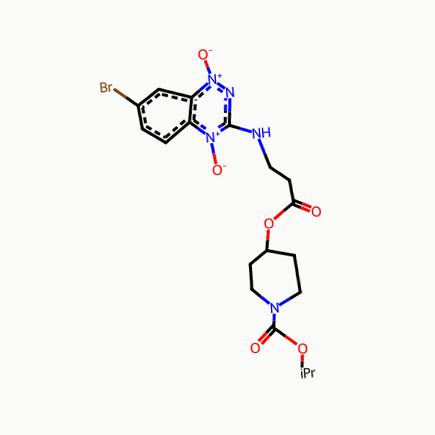 CC(C)OC(=O)N1CCC(OC(=O)CCNc2n[n+]([O-])c3cc(Br)ccc3[n+]2[O-])CC1